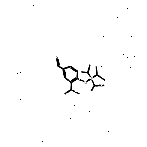 CC(C)c1cc(C=O)ccc1O[Si](C(C)C)(C(C)C)C(C)C